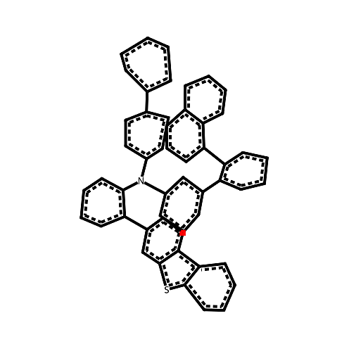 c1ccc(-c2ccc(N(c3cccc(-c4ccccc4-c4cccc5ccccc45)c3)c3ccccc3-c3ccc4c(c3)sc3ccccc34)cc2)cc1